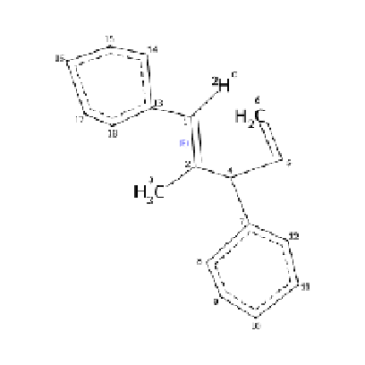 [2H]/C(=C(/C)C(C=C)c1ccccc1)c1ccccc1